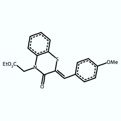 CCOC(=O)CN1C(=O)C(=Cc2ccc(OC)cc2)Sc2ccccc21